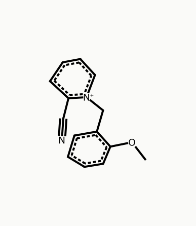 COc1ccccc1C[n+]1ccccc1C#N